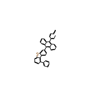 C=C/C=C\C(=C/C)c1c2ccccc2c(-c2ccc3c(c2)sc2cccc(-c4ccccc4)c23)c2ccccc12